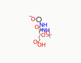 CCOc1cccc(NC(=O)[C@H](CCCCC(=O)O)NC(=O)OC(C)(C)C)c1